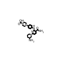 NC(=O)c1ccc(N2CCCC(N)C2)nc1Nc1ccc(N2CCN(C(=O)O)CC2)cc1